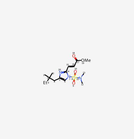 CCC(C)(C)Cc1cn(S(=O)(=O)N(C)C)c(C=CC(=O)OC)n1